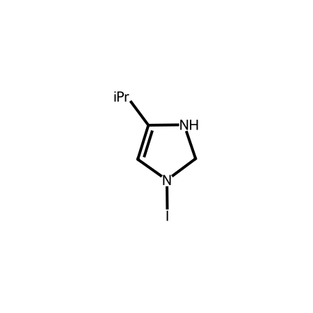 CC(C)C1=CN(I)CN1